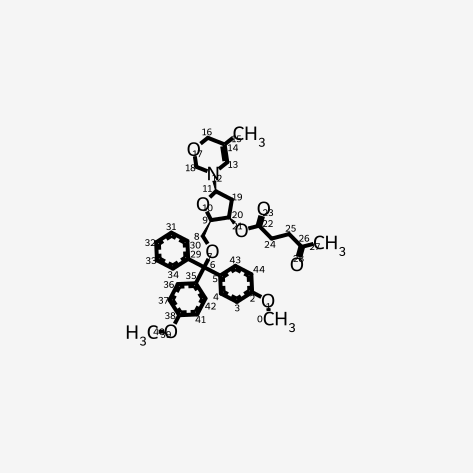 COc1ccc(C(OC[C@H]2O[C@@H](N3C=C(C)COC3)C[C@H]2OC(=O)CCC(C)=O)(c2ccccc2)c2ccc(OC)cc2)cc1